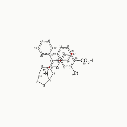 CCc1cc(C(=C2CC3CCC(C2)N3CCc2ccccc2)c2ccccc2)ccc1C(=O)O